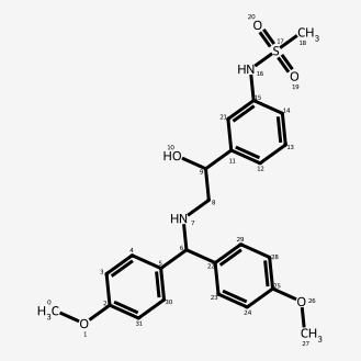 COc1ccc(C(NCC(O)c2cccc(NS(C)(=O)=O)c2)c2ccc(OC)cc2)cc1